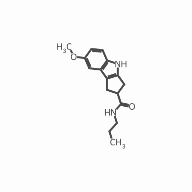 CCCNC(=O)C1Cc2[nH]c3ccc(OC)cc3c2C1